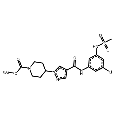 CC(C)(C)OC(=O)N1CCC(n2cc(C(=O)Nc3cc(Cl)cc(NS(C)(=O)=O)c3)cn2)CC1